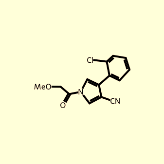 COCC(=O)n1cc(C#N)c(-c2ccccc2Cl)c1